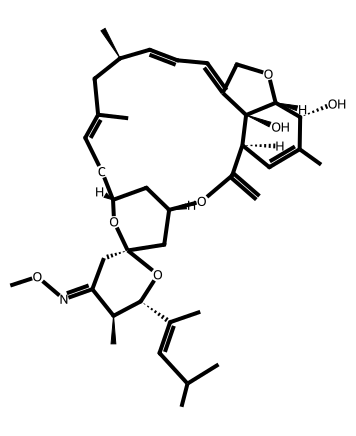 C=C1O[C@H]2C[C@@H](C/C=C(\C)C[C@@H](C)/C=C/C=C3\CO[C@@H]4[C@H](O)C(C)=C[C@@H]1[C@]34O)O[C@@]1(C/C(=N\OC)[C@H](C)[C@@H](/C(C)=C/C(C)C)O1)C2